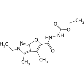 CCOC(=O)NNC(=O)c1oc2nn(CC)c(C)c2c1C